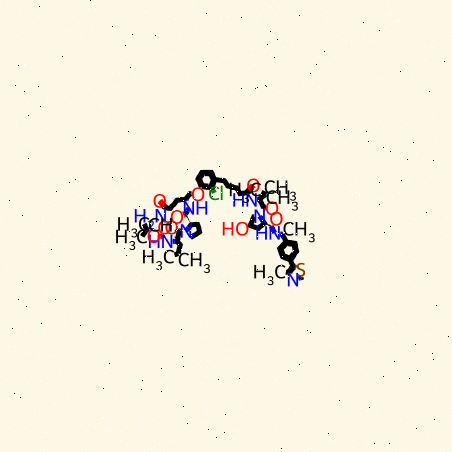 Cc1ncsc1-c1ccc(C(C)NC(=O)[C@@H]2C[C@@H](O)CN2C(=O)C(NC(=O)CCCCc2cccc(OCC(CCC(N)=O)NC(=O)[C@@H]3CCCN3C(=O)C(CC(C)C)NC(=O)OC(C)(C)C)c2Cl)C(C)(C)C)cc1